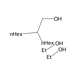 CCCCCCC(CO)CCCCCC.CCO.CCO